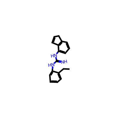 CCc1ccccc1NC(=N)Nc1cccc2c1C=CC2